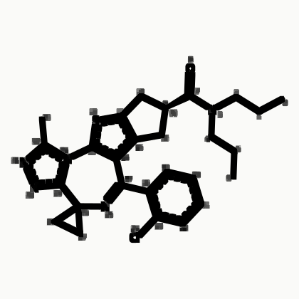 CCCN(CCC)C(=O)[C@@H]1Cc2sc3c(c2C1)C(c1ccccc1Cl)=NC1(CC1)c1nnc(C)n1-3